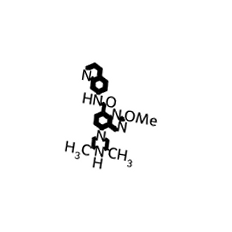 COc1ncc2c(N3C[C@@H](C)N[C@@H](C)C3)ccc(C(=O)Nc3ccc4cccnc4c3)c2n1